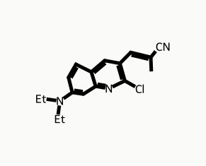 CCN(CC)c1ccc2cc(C=C(C)C#N)c(Cl)nc2c1